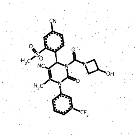 CC1=C(C#N)[C@@H](c2ccc(C#N)cc2S(C)(=O)=O)N(C(=O)N2CC(O)C2)C(=O)N1c1cccc(C(F)(F)F)c1